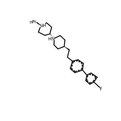 CCC[SiH]1CCC([Si@H]2CC[C@H](CCc3ccc(-c4ccc(F)cc4)cc3)CC2)CC1